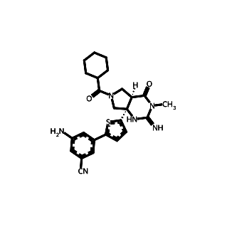 CN1C(=N)N[C@@]2(c3ccc(-c4cc(N)cc(C#N)c4)s3)CN(C(=O)C3CCCCC3)C[C@H]2C1=O